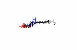 CCCCCCCCCC=CCCCNc1ccc(C(=O)NCCS(=O)(=O)O)cc1